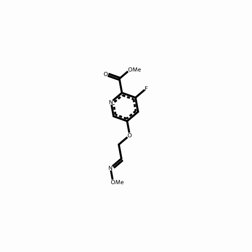 CO/N=C/COc1cnc(C(=O)OC)c(F)c1